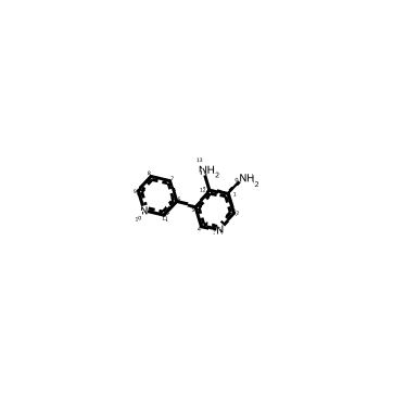 Nc1cncc(-c2cccnc2)c1N